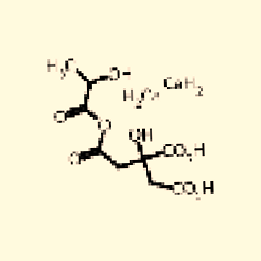 CC(O)C(=O)OC(=O)CC(O)(CC(=O)O)C(=O)O.[CaH2].[CaH2]